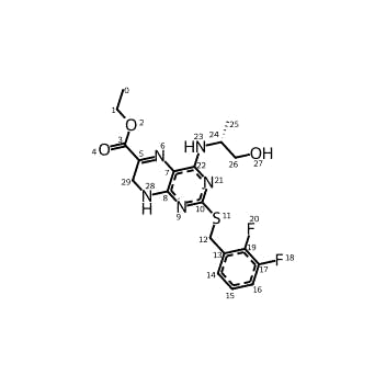 CCOC(=O)C1=Nc2c(nc(SCc3cccc(F)c3F)nc2N[C@H](C)CO)NC1